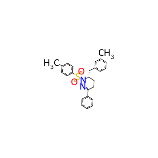 Cc1ccc(S(=O)(=O)N2N=C(c3ccccc3)CC[C@H]2Cc2cccc(C)c2)cc1